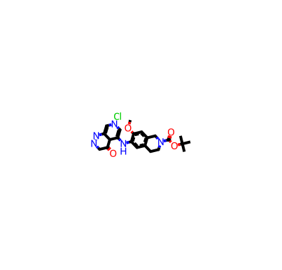 COc1cc2c(cc1NC1=CN(Cl)C=C3N=NCC(=O)C31)CCN(C(=O)OC(C)(C)C)C2